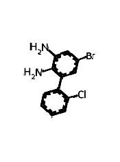 Nc1cc(Br)cc(-c2cc[c]cc2Cl)c1N